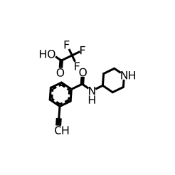 C#Cc1cccc(C(=O)NC2CCNCC2)c1.O=C(O)C(F)(F)F